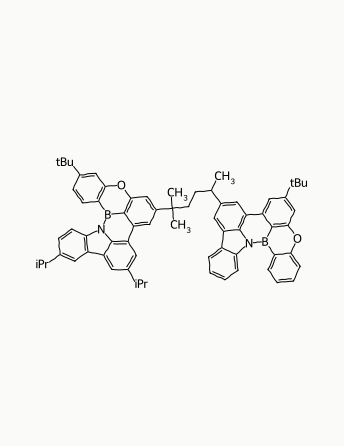 CC(C)c1ccc2c(c1)c1cc(C(C)C)cc3c1n2B1c2ccc(C(C)(C)C)cc2Oc2cc(C(C)(C)CCC(C)c4cc5c6c(c4)c4ccccc4n6B4c6ccccc6Oc6cc(C(C)(C)C)cc-5c64)cc-3c21